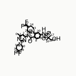 Cc1cc(NC(=O)c2ccc(NS(=O)(=O)C(C)(C)CO)cc2N2CCC(=C(F)F)CC2)nc(N2CCC(F)(F)CC2)n1